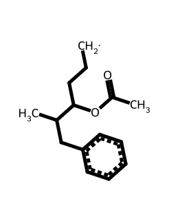 [CH2]CCC(OC(C)=O)C(C)Cc1ccccc1